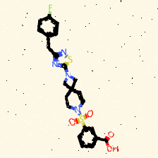 O=C(O)c1cccc(S(=O)(=O)N2CCC3(CC2)CN(c2nc(Cc4ccc(F)cc4)ns2)C3)c1